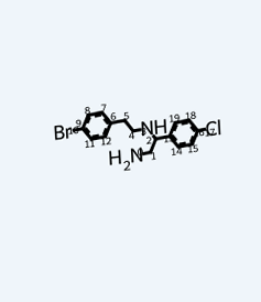 NCC(NCCc1ccc(Br)cc1)c1ccc(Cl)cc1